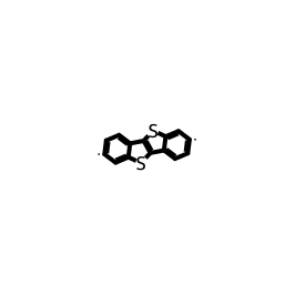 [c]1ccc2c(c1)sc1c3cc[c]cc3sc21